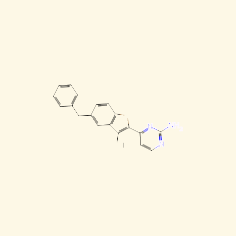 Cc1c(-c2ccnc(N)n2)sc2ccc(Cc3ccccc3)cc12